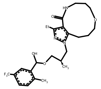 CCc1nn(C[C@@H](C)COC(O)c2cc(C(F)(F)F)ccc2C)c2c1C(=O)NCCCOCCC2